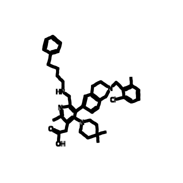 Cc1cccc(Cl)c1CN1CCc2cc(-c3c(CNCCCCc4ccccc4)nc(C)c(CC(=O)O)c3N3CCC(C)(C)CC3)ccc2C1